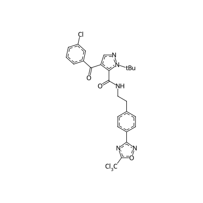 CC(C)(C)n1ncc(C(=O)c2cccc(Cl)c2)c1C(=O)NCCc1ccc(-c2noc(C(Cl)(Cl)Cl)n2)cc1